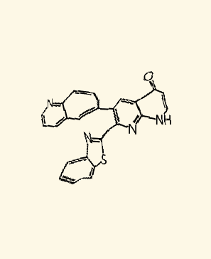 O=c1cc[nH]c2nc(-c3nc4ccccc4s3)c(-c3ccc4ncccc4c3)cc12